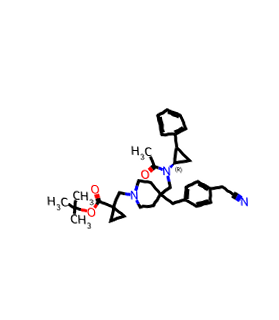 CC(=O)N(CC1(Cc2ccc(CC#N)cc2)CCN(CC2(C(=O)OC(C)(C)C)CC2)CC1)[C@@H]1CC1c1ccccc1